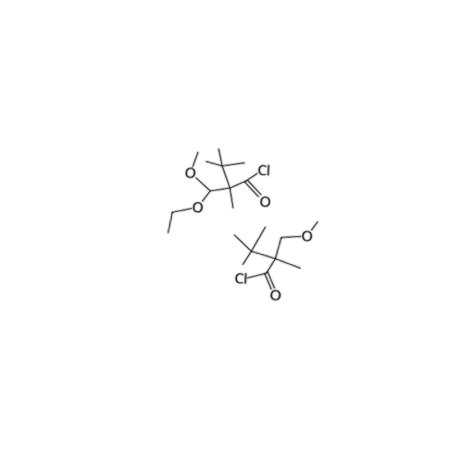 CCOC(OC)C(C)(C(=O)Cl)C(C)(C)C.COCC(C)(C(=O)Cl)C(C)(C)C